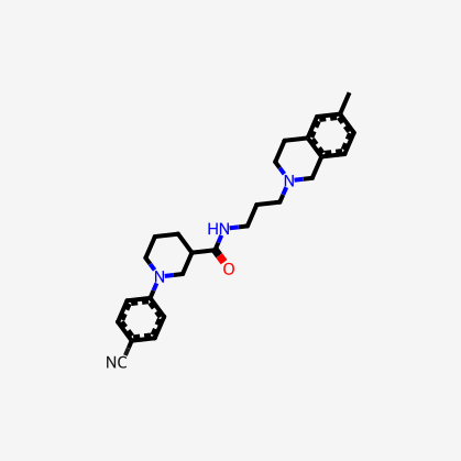 Cc1ccc2c(c1)CCN(CCCNC(=O)C1CCCN(c3ccc(C#N)cc3)C1)C2